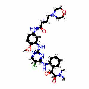 COc1ccc(NC(=O)/C=C/CN2CCOCC2)cc1Nc1ncc(Cl)c(Nc2ccccc2C(=O)C(=O)N(C)C)n1